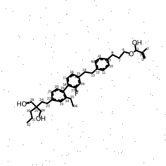 C=C(C)C(O)OCCCc1ccc(CCc2ccc(-c3ccc(CCC(CO)(CO)CCC)cc3CC)c(F)c2)cc1